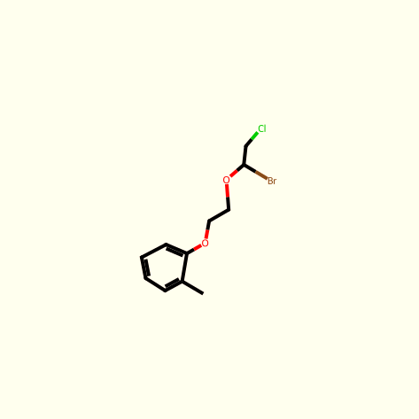 Cc1ccccc1OCCOC(Br)CCl